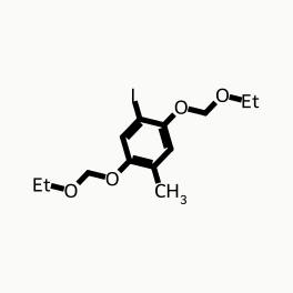 CCOCOc1cc(I)c(OCOCC)cc1C